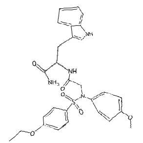 CCOc1ccc(S(=O)(=O)N(CC(=O)NC(Cc2c[nH]c3ccccc23)C(N)=O)c2ccc(OC)cc2)cc1